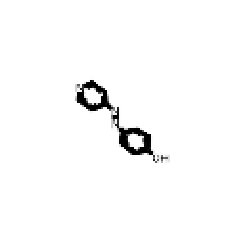 Oc1ccc(N=Nc2ccncc2)cc1